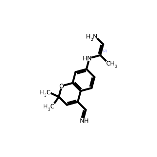 C/C(=C/N)Nc1ccc2c(c1)OC(C)(C)C=C2C=N